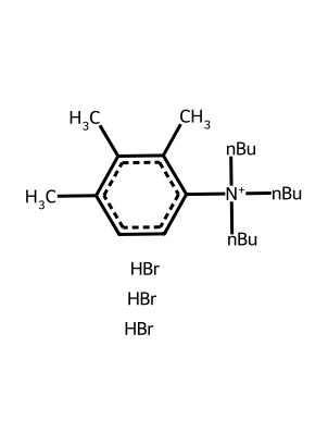 Br.Br.Br.CCCC[N+](CCCC)(CCCC)c1ccc(C)c(C)c1C